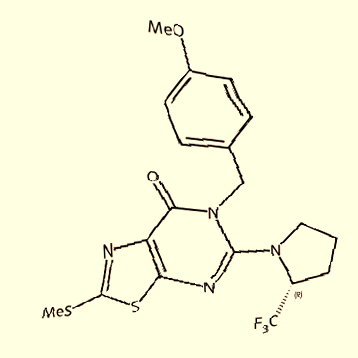 COc1ccc(Cn2c(N3CCC[C@@H]3C(F)(F)F)nc3sc(SC)nc3c2=O)cc1